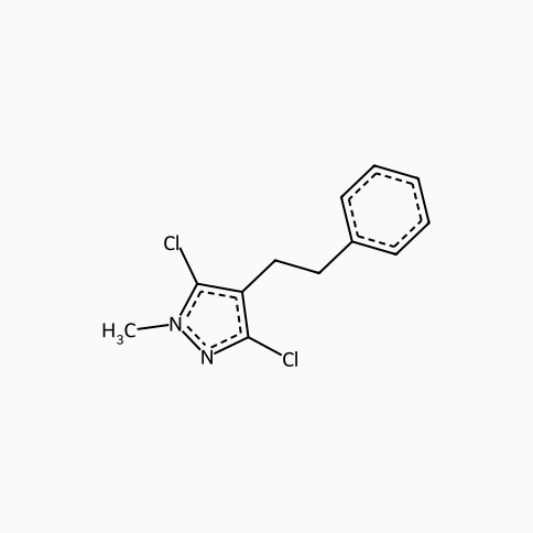 Cn1nc(Cl)c(CCc2ccccc2)c1Cl